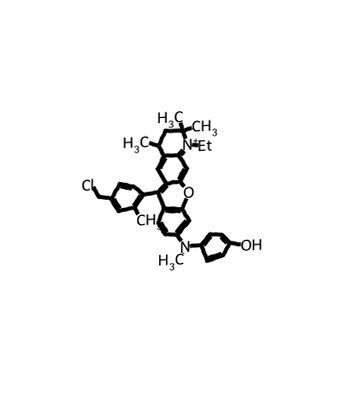 CC[N+]1=c2cc3c(cc2C(C)CC1(C)C)=C(c1ccc(CCl)cc1C)c1ccc(N(C)c2ccc(O)cc2)cc1O3